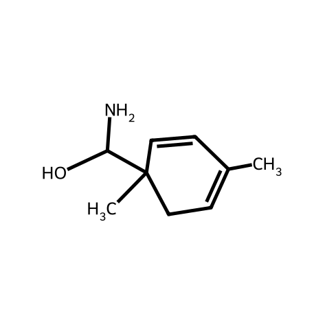 CC1=CCC(C)(C(N)O)C=C1